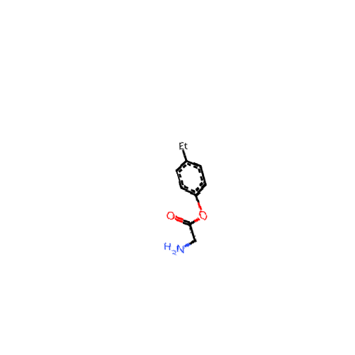 CCc1ccc(OC(=O)CN)cc1